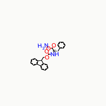 NOC(=O)[C@H](Cc1ccccc1)NC(=O)OCC1c2ccccc2-c2ccccc21